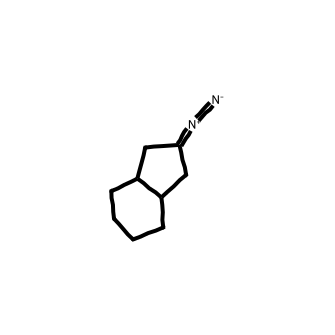 [N-]=[N+]=C1CC2CCCCC2C1